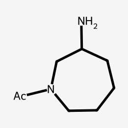 CC(=O)N1CCCCC(N)C1